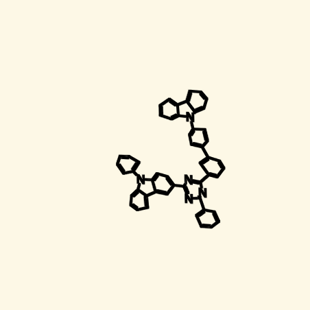 c1ccc(-c2nc(-c3cccc(-c4ccc(-n5c6ccccc6c6ccccc65)cc4)c3)nc(-c3ccc4c(c3)c3ccccc3n4-c3ccccc3)n2)cc1